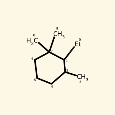 CCC1C(C)CCCC1(C)C